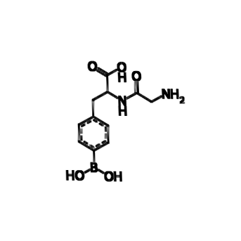 NCC(=O)NC(Cc1ccc(B(O)O)cc1)C(=O)O